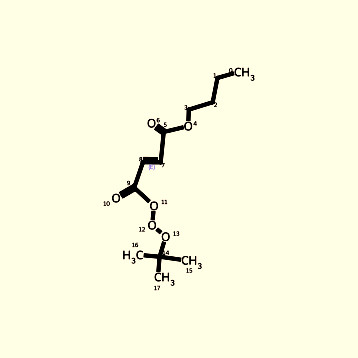 CCCCOC(=O)/C=C/C(=O)OOOC(C)(C)C